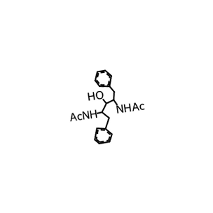 CC(=O)NC(Cc1ccccc1)C(O)C(Cc1ccccc1)NC(C)=O